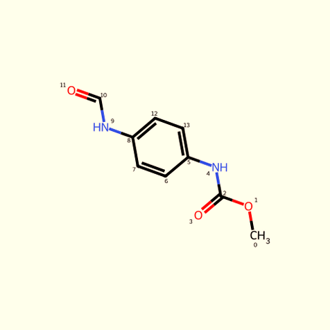 COC(=O)Nc1ccc(NC=O)cc1